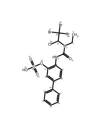 CCN(C(=O)Nc1ccc(-c2ccccc2)cc1OS(=O)(=O)O)C(Cl)C(Br)(Br)Br